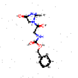 CC(C)C1NC(=O)CN1C(=O)CNC(=O)OCc1ccccc1